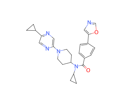 O=C(c1ccc(-c2cnco2)cc1)N(C1CC1)C1CCN(c2cnc(C3CC3)cn2)CC1